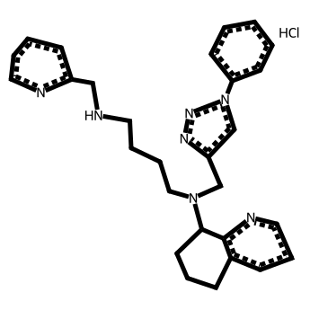 Cl.c1ccc(-n2cc(CN(CCCCNCc3ccccn3)C3CCCc4cccnc43)nn2)cc1